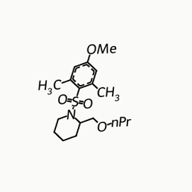 CCCOCC1CCCCN1S(=O)(=O)c1c(C)cc(OC)cc1C